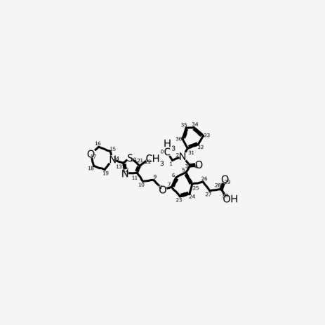 CCN(C(=O)c1cc(OCCc2nc(N3CCOCC3)sc2C)ccc1CCC(=O)O)c1ccccc1